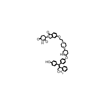 CC/C(=C(\c1ccc(O)cc1)c1ccc(OC2CCC(N3CCN(CCOc4ccc5c(c4)CN(C4CCC(=O)NC4=O)C5=O)CC3)CN2)cc1)c1ccccc1